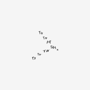 [Hf].[SiH4].[Ta].[Ta].[Ta].[Ta].[Ta]